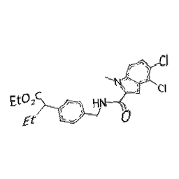 CCOC(=O)C(CC)c1ccc(CNC(=O)c2cc3c(Cl)c(Cl)ccc3n2C)cc1